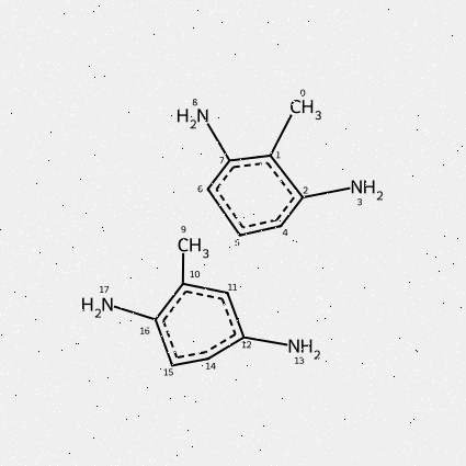 Cc1c(N)cccc1N.Cc1cc(N)ccc1N